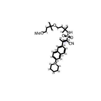 COCCC(C)(C)OCCC(C)(C)NS(=O)(=O)/C(C#N)=C(\C)c1ccc2cc(N3CCCCC3)ccc2c1